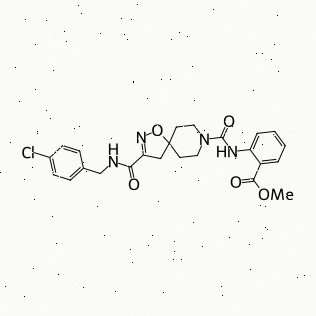 COC(=O)c1ccccc1NC(=O)N1CCC2(CC1)CC(C(=O)NCc1ccc(Cl)cc1)=NO2